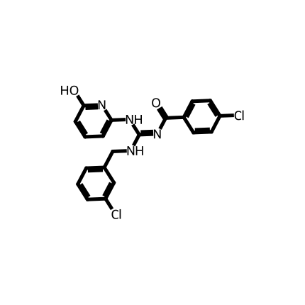 O=C(/N=C(/NCc1cccc(Cl)c1)Nc1cccc(O)n1)c1ccc(Cl)cc1